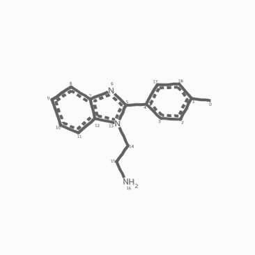 Cc1ccc(-c2nc3ccccc3n2CCN)cc1